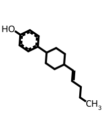 CCCC=CC1CCC(c2ccc(O)cc2)CC1